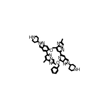 Cc1cn2nc(-c3cc4cn(C5CCNCC5)nc4cc3OCc3cc(-c4cc5cn(C6CCNCC6)nc5c(OCc5ccccc5)n4)nn4cc(C)nc34)cc(C)c2n1